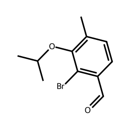 Cc1ccc(C=O)c(Br)c1OC(C)C